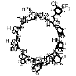 CCCOC[C@H]1C(=O)N(C)CC(=O)N[C@@H](CCc2ccc(C(F)(F)F)c(Cl)c2)C(=O)N2CCC[C@H]2C(=O)NC2(CCCC2)C(=O)N(C)[C@@H](C2CCCCC2)C(=O)N(C)[C@H](C(=O)N2C3CCC2COC3)CC(=O)N(C)[C@@H](C2CCC2)C(=O)N[C@@H]([C@@H](C)CC)C(=O)N(C)CC(=O)N(C)CC(=O)N1C